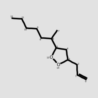 C=CCC1CC(C(C)CCCCC)OO1